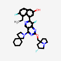 CCc1c(F)ccc2cc(O)cc(-c3ncc4c(N5CCC6(CCCCC6)C5)nc(OCC56CCCN5C[C@H](F)C6)nc4c3F)c12